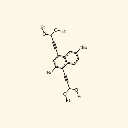 CCOC(C#Cc1cc(C(C)(C)C)c(C#CC(OCC)OCC)c2ccc(C(C)(C)C)cc12)OCC